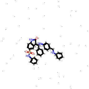 O=C1Nc2ccc(S(=O)(=O)Nc3ccccc3)cc2/C1=C(/Nc1ccc(CNc2ccccc2)cc1)c1ccccc1